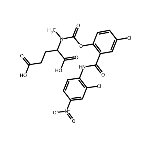 CN(C(=O)Oc1ccc(Cl)cc1C(=O)Nc1ccc([N+](=O)[O-])cc1Cl)C(CCC(=O)O)C(=O)O